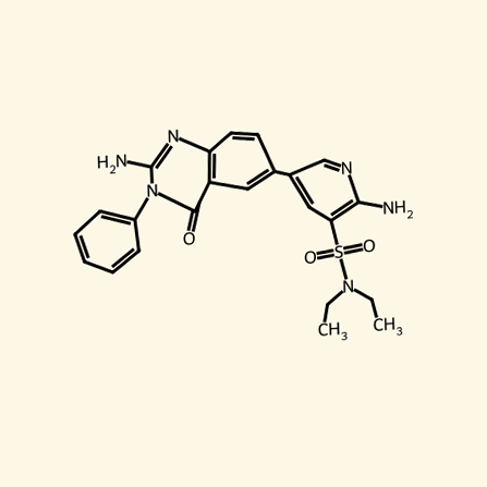 CCN(CC)S(=O)(=O)c1cc(-c2ccc3nc(N)n(-c4ccccc4)c(=O)c3c2)cnc1N